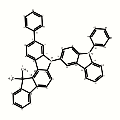 CC1(C)c2ccccc2-c2ccc3c(c21)c1ccc(-c2ccccc2)cc1n3-c1ccc2c(c1)c1ccccc1n2-c1ccccc1